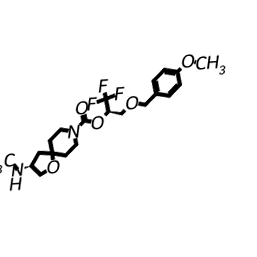 CN[C@H]1COC2(CCN(C(=O)O[C@H](COCc3ccc(OC)cc3)C(F)(F)F)CC2)C1